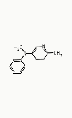 Cc1ccc(N(C)c2ccccc2)cn1